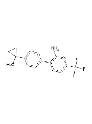 CC1(c2ccc(-c3ccc(C(F)(F)F)nc3N)cc2)CC1